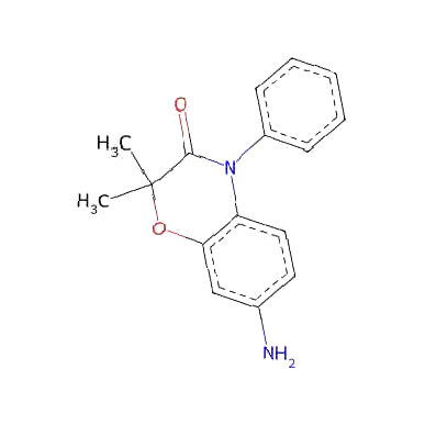 CC1(C)Oc2cc(N)ccc2N(c2ccccc2)C1=O